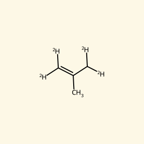 [2H]C([2H])=C(C)C([2H])[2H]